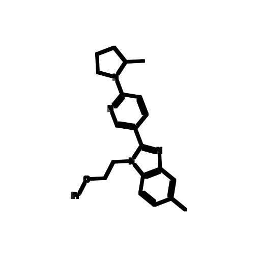 Cc1ccc2c(c1)nc(-c1ccc(N3CCCC3C)nc1)n2CCOC(C)C